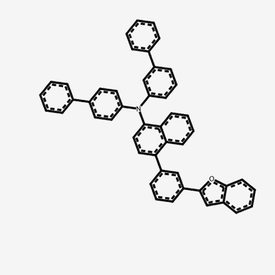 c1ccc(-c2ccc(N(c3cccc(-c4ccccc4)c3)c3ccc(-c4cccc(-c5cc6ccccc6o5)c4)c4ccccc34)cc2)cc1